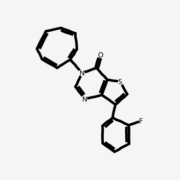 O=c1c2scc(-c3ccccc3F)c2ncn1C1=CC=CC=CC=C1